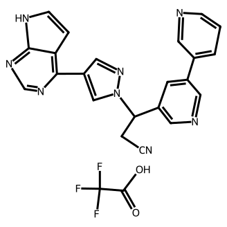 N#CCC(c1cncc(-c2cccnc2)c1)n1cc(-c2ncnc3[nH]ccc23)cn1.O=C(O)C(F)(F)F